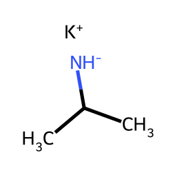 CC(C)[NH-].[K+]